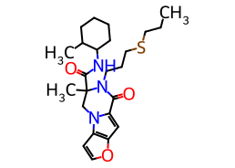 CCCSCCCN1C(=O)c2cc3occc3n2CC1(C)C(=O)NC1CCCCC1C